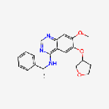 COc1cc2ncnc(N[C@H](C)c3ccccc3)c2cc1OC1CCOC1